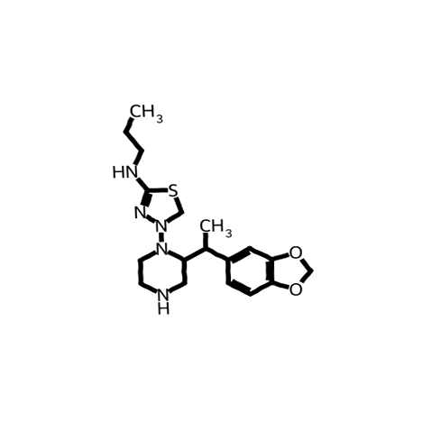 CCCNC1=NN(N2CCNCC2C(C)c2ccc3c(c2)OCO3)CS1